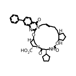 O=C1N[C@@H](C2CCCC2)C(=O)N2C[C@@H](C[C@H]2C(=O)O)Oc2nc3cc(-c4ccccc4)ccc3c(=O)n2C/C=C/CC[C@@H]2CCC[C@H]2O1